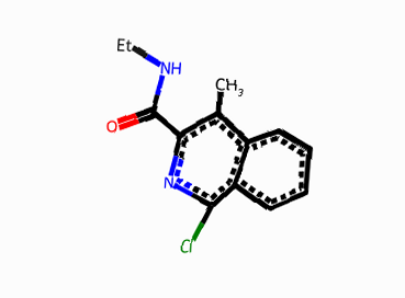 CCNC(=O)c1nc(Cl)c2ccccc2c1C